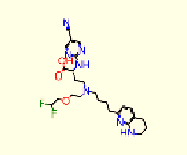 N#Cc1cnc(N[C@@H](CCN(CCCCc2ccc3c(n2)NCCC3)CCOCC(F)F)C(=O)O)nc1